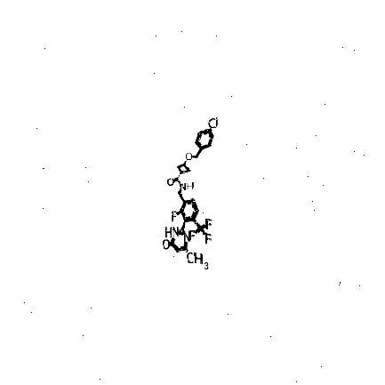 Cc1cc(=O)[nH]c(-c2c(C(F)(F)F)ccc(CNC(=O)[C@H]3C[C@H](OCc4ccc(Cl)cc4)C3)c2F)n1